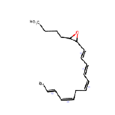 CCC(C)/C=C/C=C\C\C=C/C=C/C=C/C1OC1CCCC(=O)O